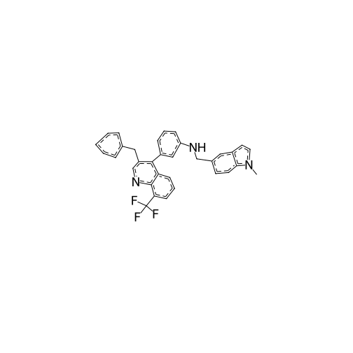 Cn1ccc2cc(CNc3cccc(-c4c(Cc5ccccc5)cnc5c(C(F)(F)F)cccc45)c3)ccc21